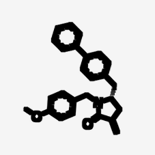 C=C1C[C@@H](Cc2ccc(-c3ccccc3)cc2)N(Cc2ccc(OC)cc2)C1=O